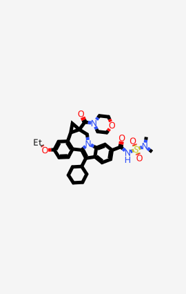 CCOc1ccc2c(c1)C1CC1(C(=O)N1CCOCC1)Cn1c-2c(C2CCCCC2)c2ccc(C(=O)NS(=O)(=O)N(C)C)cc21